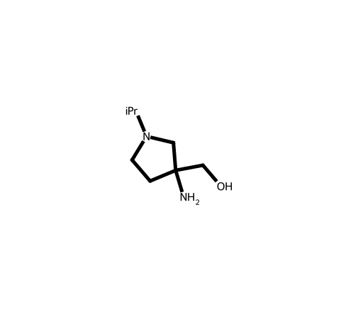 CC(C)N1CCC(N)(CO)C1